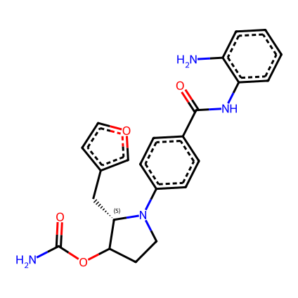 NC(=O)OC1CCN(c2ccc(C(=O)Nc3ccccc3N)cc2)[C@H]1Cc1ccoc1